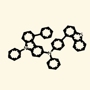 c1ccc(-c2cccc3c2c2cc(N(c4ccccc4)c4ccc(-c5cccc6sc7ccccc7c56)cc4)ccc2n3-c2ccccc2)cc1